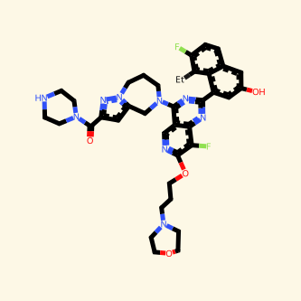 CCc1c(F)ccc2cc(O)cc(-c3nc(N4CCCn5nc(C(=O)N6CCNCC6)cc5C4)c4cnc(OCCCN5CCOCC5)c(F)c4n3)c12